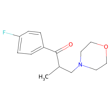 CC(CN1CCOCC1)C(=O)c1ccc(F)cc1